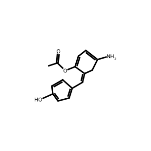 CC(=O)OC1=CC=C(N)CC1=Cc1ccc(O)cc1